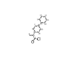 C=C(C(=O)Cl)c1ccc(-c2ccccc2)cc1